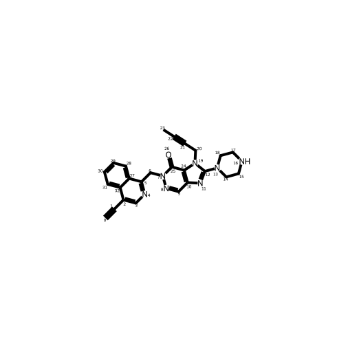 C#Cc1cnc(Cn2ncc3nc(N4CCNCC4)n(CC#CC)c3c2=O)c2ccccc12